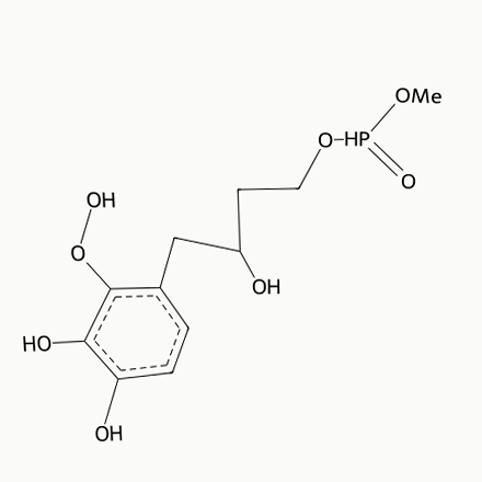 CO[PH](=O)OCCC(O)Cc1ccc(O)c(O)c1OO